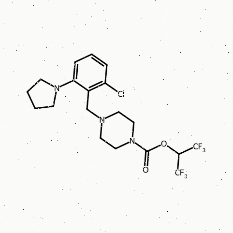 O=C(OC(C(F)(F)F)C(F)(F)F)N1CCN(Cc2c(Cl)cccc2N2CCCC2)CC1